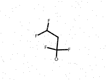 [O]C(F)(F)CC(F)F